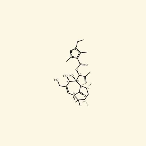 CCn1cc(C)c(C(=O)O[C@H]2C(C)=C[C@]34C(=O)[C@@H](C=C(CO)[C@@H](O)[C@]23O)C(C)(C)[C@@H](C)C[C@H]4C)c1C